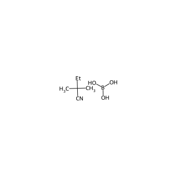 CCC(C)(C)C#N.OB(O)O